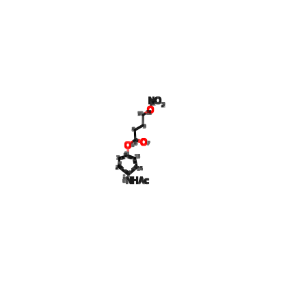 CC(=O)Nc1ccc(OC(=O)CCCO[N+](=O)[O-])cc1